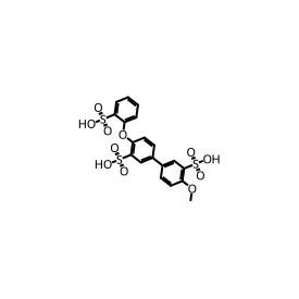 COc1ccc(-c2ccc(Oc3ccccc3S(=O)(=O)O)c(S(=O)(=O)O)c2)cc1S(=O)(=O)O